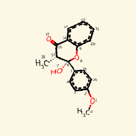 COc1ccc([C@]2(O)Oc3ccccc3C(=O)[C@H]2C)cc1